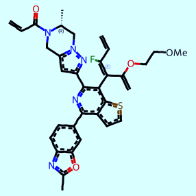 C=CC(=O)N1Cc2cc(-c3nc(-c4ccc5nc(C)oc5c4)c4ccsc4c3/C(C(=C)OCCOC)=C(\F)C=C)nn2C[C@H]1C